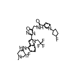 CN1CC[C@@H](Nc2cccc3c2cc(-c2noc(CNC(=O)c4ccn(C5CCC(F)C5)c4)n2)n3CC(F)(F)F)[C@@H](F)C1